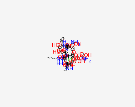 CCCCCCCCNC(=O)NC(=O)C[C@@H]1CC(=O)[C@H](NC(=O)[C@@H](CC(C)C)NC)[C@H](O)c2ccc(c(Cl)c2)Oc2cc3cc(c2OC2OC(CO)C(O)C(O)C2OC2CC(C)(N)C(O)C(C)O2)Oc2ccc(cc2)[C@@H](OC2CC(C)(N)C(O)C(C)O2)[C@@H]2NC(=O)[C@H](CC(=O)[C@@H]3NC1=O)c1ccc(O)c(c1)-c1c(O)cc(O)cc1[C@@H](C(=O)CC1C3CC4CC(C3)CC1C4)NC2=O